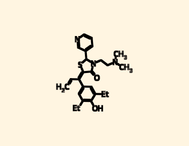 C=CC(=C1SC(c2cccnc2)N(CCN(C)C)C1=O)c1cc(CC)c(O)c(CC)c1